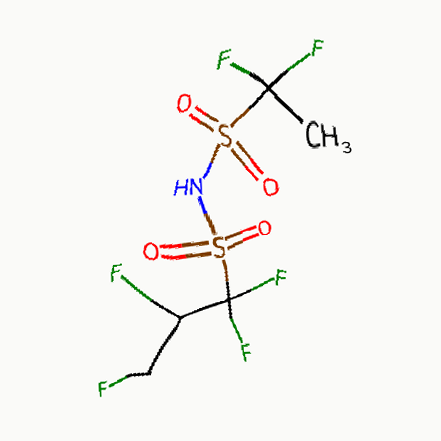 CC(F)(F)S(=O)(=O)NS(=O)(=O)C(F)(F)C(F)CF